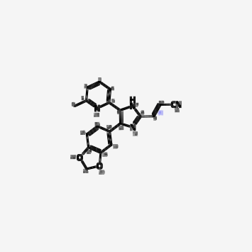 Cc1cccc(-c2[nH]c(/C=C/C#N)nc2-c2ccc3c(c2)OCO3)n1